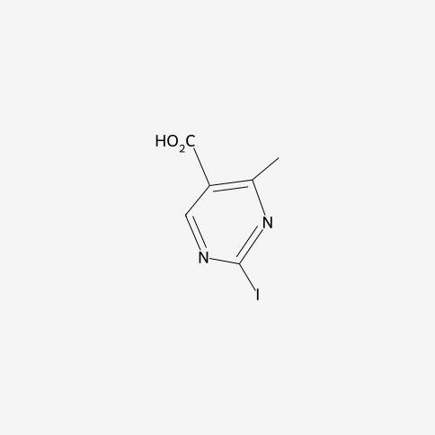 Cc1nc(I)ncc1C(=O)O